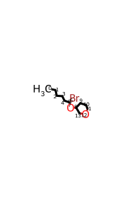 CCCCCC(Br)OC1CCCOC1